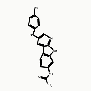 CC(=O)Nc1ccc2c(c1)[nH]c1ncc(Nc3ccc(O)cc3)cc12